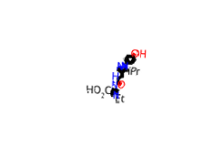 CCn1cc(NC(=O)CCc2cnn(-c3ccc(O)cc3)c2C(C)C)c(C(=O)O)c1